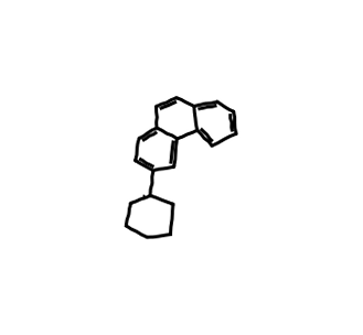 c1ccc2c(c1)ccc1ccc([C]3CCCCC3)cc12